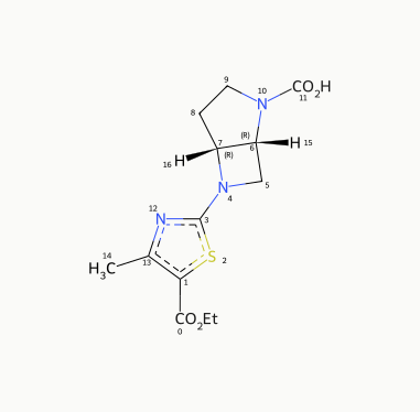 CCOC(=O)c1sc(N2C[C@@H]3[C@H]2CCN3C(=O)O)nc1C